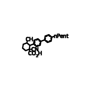 CCCCCc1ccc(-c2ccc(C3C(C)CCCC3(C#N)C(=O)O)cc2)cc1